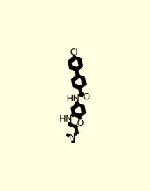 CN(C)CC1CNc2cc(NC(=O)c3ccc(-c4ccc(Cl)cc4)cc3)ccc2O1